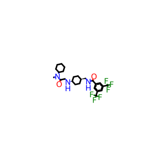 CN(C(=O)CN[C@H]1CC[C@H](CNC(=O)c2cc(C(F)(F)F)cc(C(F)(F)F)c2)CC1)C1CCCCC1